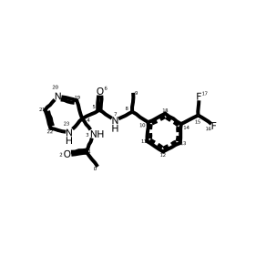 CC(=O)NC1(C(=O)NC(C)c2cccc(C(F)F)c2)C=NC=CN1